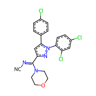 N#CN=C(c1cc(-c2ccc(Cl)cc2)n(-c2ccc(Cl)cc2Cl)n1)N1CCOCC1